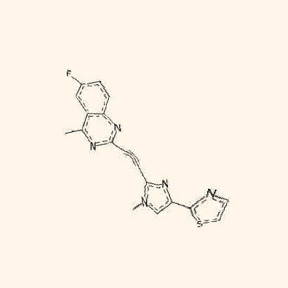 Cc1nc(C#Cc2nc(-c3nccs3)cn2C)nc2ccc(F)cc12